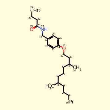 CC(C)CCCC(C)CCCC(C)CCOc1ccc(CNC(=O)CCC=O)cc1